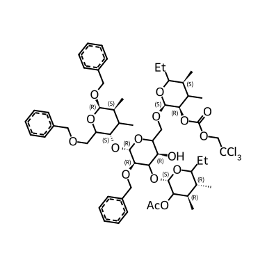 CCC1O[C@H](OCC2O[C@@H](O[C@@H]3C(COCc4ccccc4)O[C@@H](OCc4ccccc4)[C@@H](C)C3C)[C@H](OCc3ccccc3)C(O[C@@H]3OC(CC)[C@H](C)[C@@H](C)C3OC(C)=O)[C@@H]2O)[C@H](OC(=O)OCC(Cl)(Cl)Cl)C(C)[C@@H]1C